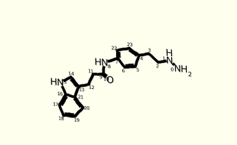 NNCCc1ccc(NC(=O)CCc2c[nH]c3ccccc23)cc1